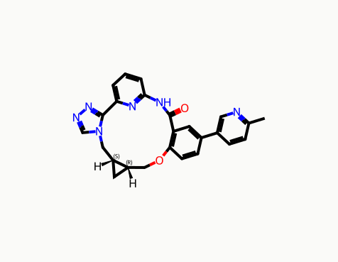 Cc1ccc(-c2ccc3c(c2)C(=O)Nc2cccc(n2)-c2nncn2C[C@H]2C[C@H]2CO3)cn1